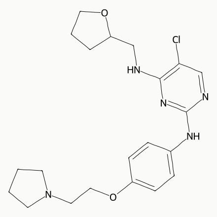 Clc1cnc(Nc2ccc(OCCN3CCCC3)cc2)nc1NCC1CCCO1